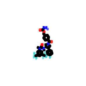 CN(C(=O)N(C)[C@@H]1CN(C(=O)C2CCC(COC(N)=O)CC2)C[C@H]1c1ccc(F)cc1)c1cc(C(F)(F)F)cc(C(F)(F)F)c1